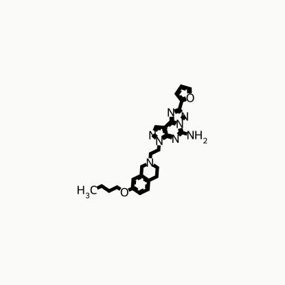 CCCCOc1ccc2c(c1)CN(CCn1ncc3c1nc(N)n1nc(-c4ccco4)nc31)CC2